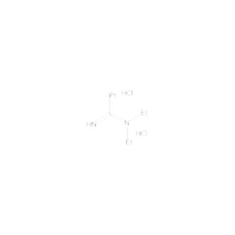 CCN(CC)C(=N)C(C)C.Cl.Cl